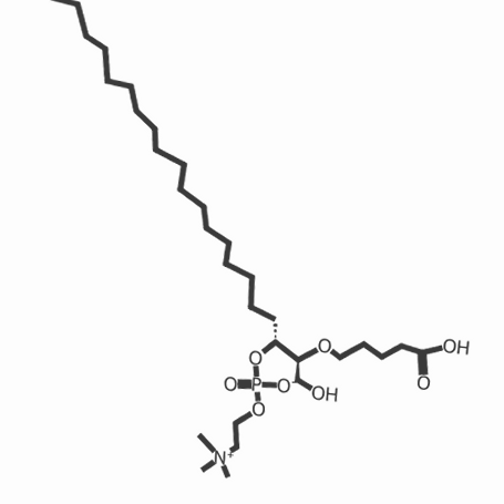 CCCCCCCCCCCCCCCCCC[C@@H](OP(=O)([O-])OCC[N+](C)(C)C)[C@H](CO)OCCCCC(=O)O